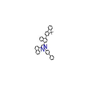 CC1(C)c2ccccc2-c2ccc(-c3ccc(-c4cc(-c5cccc6ccccc56)nc(-c5ccc(-c6ccccc6)cc5)n4)c4ccccc34)cc21